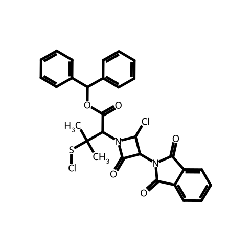 CC(C)(SCl)C(C(=O)OC(c1ccccc1)c1ccccc1)N1C(=O)C(N2C(=O)c3ccccc3C2=O)C1Cl